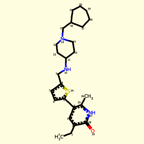 CCc1cc(-c2ccc(CNC3CCN(CC4CCCCC4)CC3)s2)c(C)[nH]c1=O